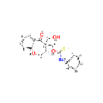 O=C1c2ccccc2OCCC1(CO)COC(=S)Nc1ccccc1